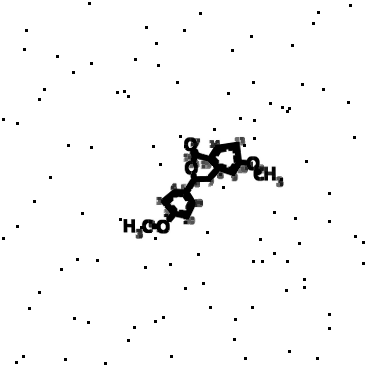 COc1ccc(C2Cc3cc(OC)ccc3C(=O)O2)cc1